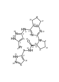 CC(C)c1cc(Nc2nc(N3CCC[C@H]3C(=O)NCc3ccn[nH]3)nc3c2CCC3)n[nH]1